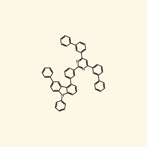 c1ccc(-c2cccc(-c3cc(-c4cccc(-c5ccccc5)c4)nc(-c4cccc(-c5cccc6c5c5cc(-c7ccccc7)ccc5n6-c5ccccc5)c4)n3)c2)cc1